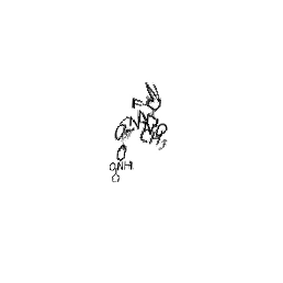 Cn1c(N2CCO[C@@H](c3ccc(NC(=O)C4CCCC4)cc3)C2)nc(-c2ccncc2F)cc1=O